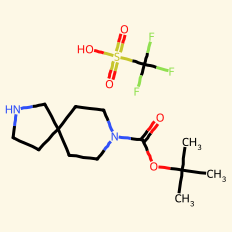 CC(C)(C)OC(=O)N1CCC2(CCNC2)CC1.O=S(=O)(O)C(F)(F)F